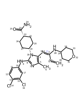 C=N/C(=N\c1c(C)nc(Nc2ccc(Cl)c(Cl)c2)n1[C@H]1CC[C@@H](C(N)=O)CC1)NC1CCOCC1